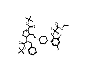 CCOC(=O)C(F)(F)Oc1c(F)cc(F)cc1[C@H]1CC[C@@H](OCC2C(P(Cc3ccccc3)C(=O)OC(C)(C)C)CCN2C(=O)OC(C)(C)C)CC1